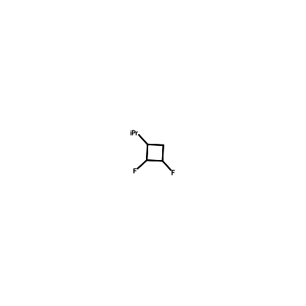 CC(C)C1CC(F)C1F